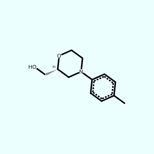 Cc1ccc(N2CCO[C@@H](CO)C2)cc1